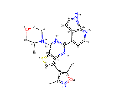 Cc1noc(C)c1-c1csc2c(N3CCOC[C@H]3C)nc(-c3ccnc4[nH]ccc34)nc12